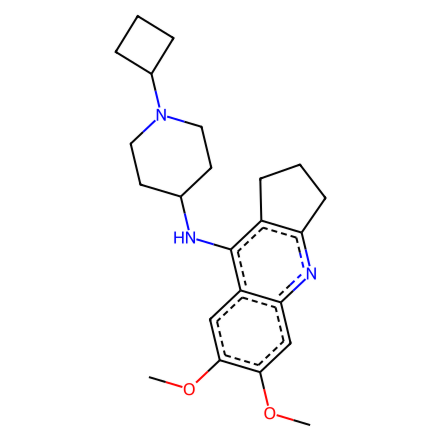 COc1cc2nc3c(c(NC4CCN(C5CCC5)CC4)c2cc1OC)CCC3